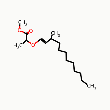 CCCCCCCCCC(C)C=COC(C)C(=O)OC